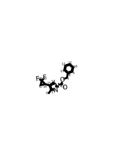 Cc1nn(C(=O)OCc2ccccc2)cc1C1CC1(F)F